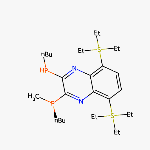 CCCCPc1nc2c(S(CC)(CC)CC)ccc(S(CC)(CC)CC)c2nc1[P@](C)CCCC